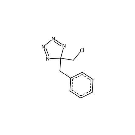 ClCC1(Cc2ccccc2)N=NN=N1